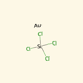 Cl[Si](Cl)(Cl)Cl.[Au]